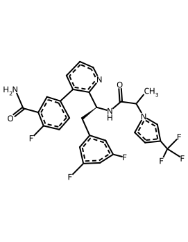 CC(C(=O)N[C@@H](Cc1cc(F)cc(F)c1)c1ncccc1-c1ccc(F)c(C(N)=O)c1)n1ccc(C(F)(F)F)c1